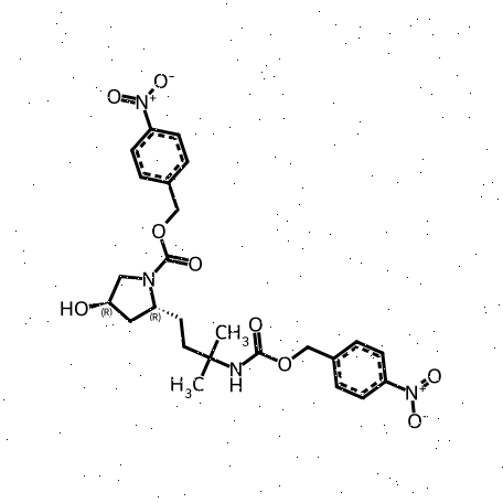 CC(C)(CC[C@@H]1C[C@@H](O)CN1C(=O)OCc1ccc([N+](=O)[O-])cc1)NC(=O)OCc1ccc([N+](=O)[O-])cc1